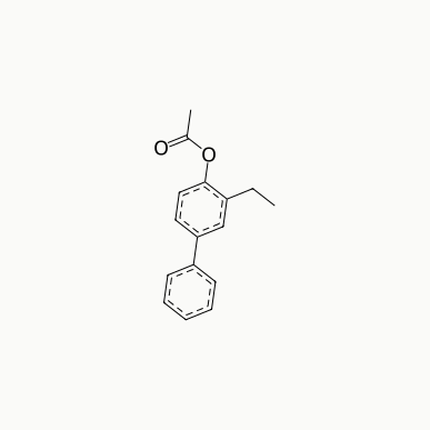 CCc1cc(-c2ccccc2)ccc1OC(C)=O